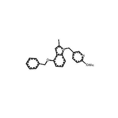 COc1ccc(Cn2c(C)cc3c(OCc4ccccc4)cccc32)cn1